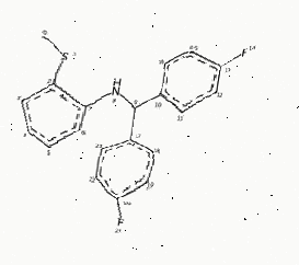 CSc1ccccc1NC(c1ccc(F)cc1)c1ccc(F)cc1